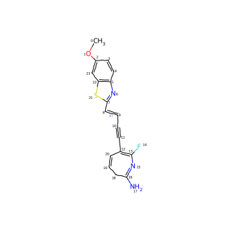 COc1ccc2nc(/C=C/C#CC3=C(F)N=C(N)CC=C3)sc2c1